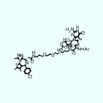 CC(=O)N[C@@H](CSc1nc2c(=O)[nH]c(N)nc2n1C1O[C@@H]2COP(O)O[C@H]2[C@H]1O)C(=O)NCCCOCCOCCOCCCNC(=O)C[C@@H]1N=C(c2ccc(Cl)cc2)c2c(sc(C)c2C)-n2c(C)nnc21